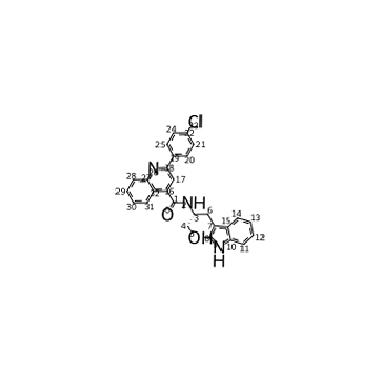 O=C(N[C@@H](CO)Cc1c[nH]c2ccccc12)c1cc(-c2ccc(Cl)cc2)nc2ccccc12